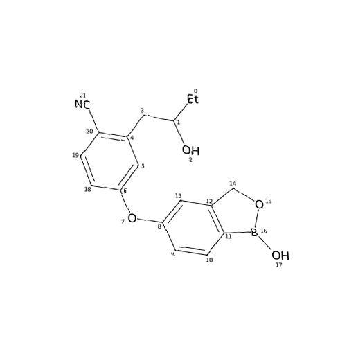 CCC(O)Cc1cc(Oc2ccc3c(c2)COB3O)ccc1C#N